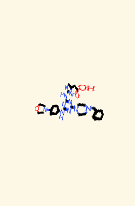 O=C(O)Cc1cnc(Nc2nc(Nc3ccc(N4CCOCC4)cc3)nc(N3CCN(Cc4ccccc4)CC3)n2)[nH]1